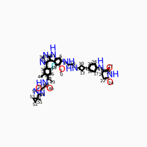 COc1cc2c(cc1NCCN[C@H]1C[C@@H](c3ccc(N[C@@H]4CCC(=O)NC4=O)cc3)C1)[nH]c1ncnc(-c3cc(C)c([C@@H](C)NC(=O)c4nc(C5(C)CC5)no4)cc3F)c12